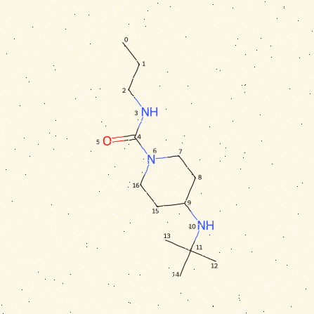 CCCNC(=O)N1CCC(NC(C)(C)C)CC1